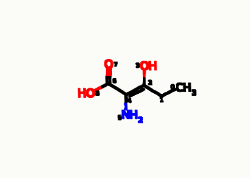 CCC(O)=C(N)C(=O)O